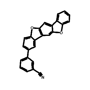 N#Cc1cccc(-c2ccc3oc4cc5c(cc4c3c2)oc2ccccc25)c1